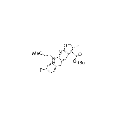 COCCNc1nc2c(cc1Cc1ccc(F)cc1)N(C(=O)OC(C)(C)C)[C@@H](C)CO2